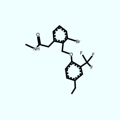 CCc1ccc(OCc2c(Br)cccc2CC(=O)NC)c(C(F)(F)F)c1